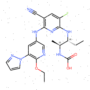 CCOc1ncc(Nc2nc(N[C@H](CC)[C@H](C)NC(=O)O)c(F)cc2C#N)cc1-n1cccn1